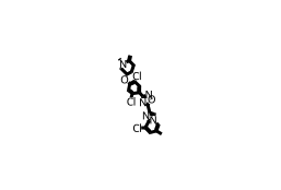 C=C1CC[C@@H](Oc2cc(Cl)c(-c3noc(-c4cn5cc(C)cc(Cl)c5n4)n3)cc2Cl)CN1C